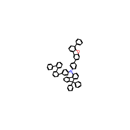 c1ccc(-c2ccccc2-c2ccccc2-c2ccc(N(c3ccc(-c4ccc5oc6c(-c7ccccc7)cccc6c5c4)cc3)c3cccc4c3-c3ccccc3C4(c3ccccc3)c3ccccc3)cc2)cc1